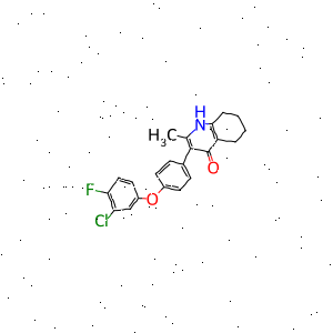 Cc1[nH]c2c(c(=O)c1-c1ccc(Oc3ccc(F)c(Cl)c3)cc1)CCCC2